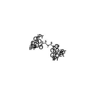 CCOC(OC(=O)CCCC(=O)OC(OCC)(OC(C)C)OC(C)C)(OC(C)C)OC(C)C